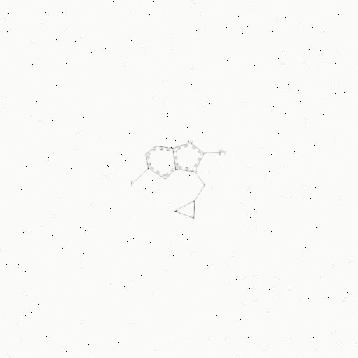 CC(C)c1nc2ccc(F)cc2n1CC1CC1